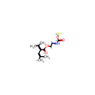 CC(C)=CC(C(=O)OCCNC(=O)OS)=C(C)C